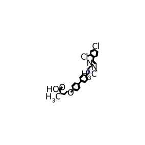 CCn1cc(-c2ccc(Cl)cc2Cl)nc1/C=C/c1ccc(-c2ccc(OCCC(C)C(=O)O)cc2)cc1